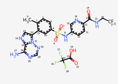 Cc1ccc(S(=O)(=O)Nc2ccc(C(=O)NCC(F)(F)F)nc2)cc1-c1cnc2c(N)ncnn12.O=C(O)C(F)(F)F